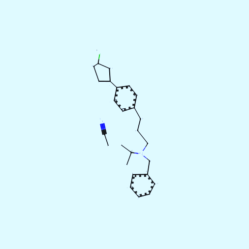 CC#N.CC(C)N(CCCc1ccc(C2CCC(Cl)C2)cc1)Cc1ccccc1